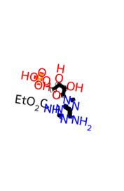 CCOC(N)=O.Nc1ncnc2c1ncn2[C@@H]1O[C@H](COP(=O)(O)O)[C@@H](O)[C@H]1O